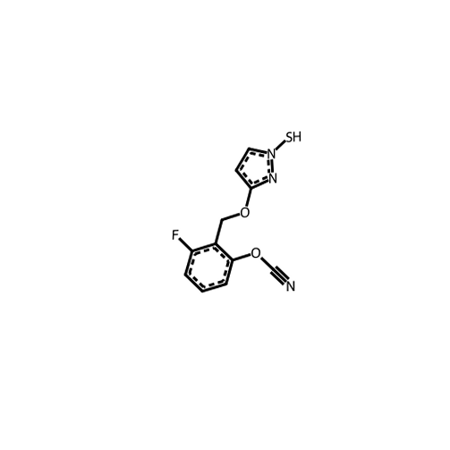 N#COc1cccc(F)c1COc1ccn(S)n1